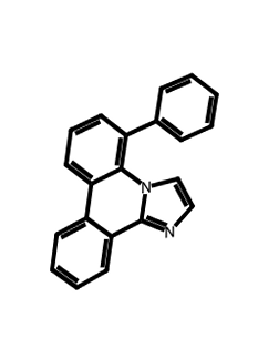 c1ccc(-c2cccc3c4ccccc4c4nccn4c23)cc1